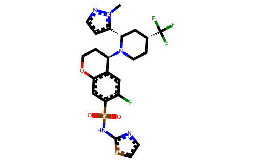 Cn1nccc1[C@@H]1C[C@H](C(F)(F)F)CCN1[C@@H]1CCOc2cc(S(=O)(=O)Nc3nccs3)c(F)cc21